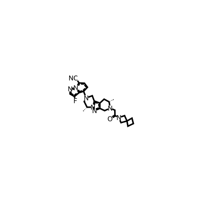 C[C@@H]1CN(c2ccc(C#N)n3ncc(F)c23)Cc2c3c(nn21)CN(CC(=O)N1CC2(CCC2)C1)[C@@H](C)C3